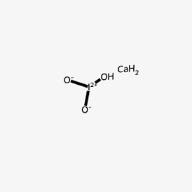 [CaH2].[O-][I+2]([O-])O